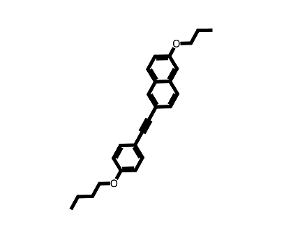 CCCCOc1ccc(C#Cc2ccc3cc(OCCC)ccc3c2)cc1